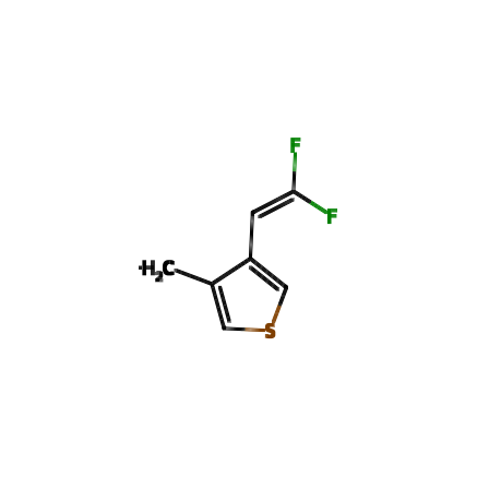 [CH2]c1cscc1C=C(F)F